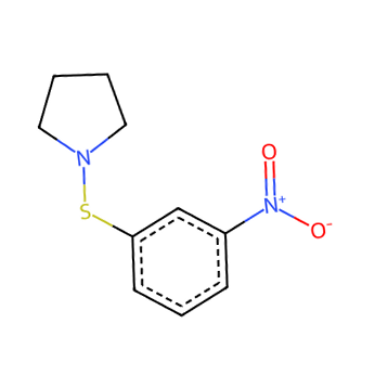 O=[N+]([O-])c1cccc(SN2CCCC2)c1